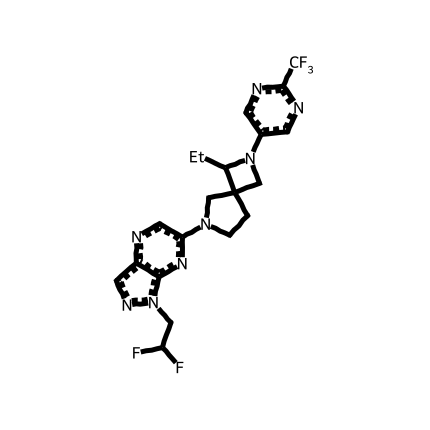 CCC1N(c2cnc(C(F)(F)F)nc2)CC12CCN(c1cnc3cnn(CC(F)F)c3n1)C2